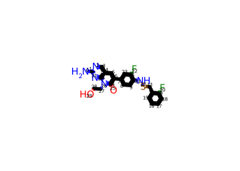 Nc1ncc2cc(-c3ccc(NSCc4ccccc4F)c(F)c3)c(=O)n(CCO)c2n1